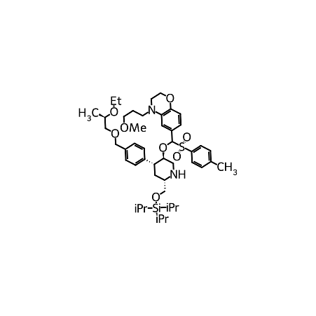 CCO[C@H](C)COCc1ccc([C@H]2C[C@@H](CO[Si](C(C)C)(C(C)C)C(C)C)NC[C@@H]2OC(c2ccc3c(c2)N(CCCOC)CCO3)S(=O)(=O)c2ccc(C)cc2)cc1